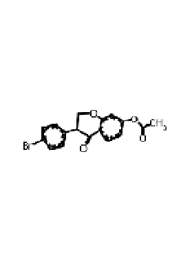 CC(=O)Oc1ccc2c(c1)OCC(c1ccc(Br)cc1)C2=O